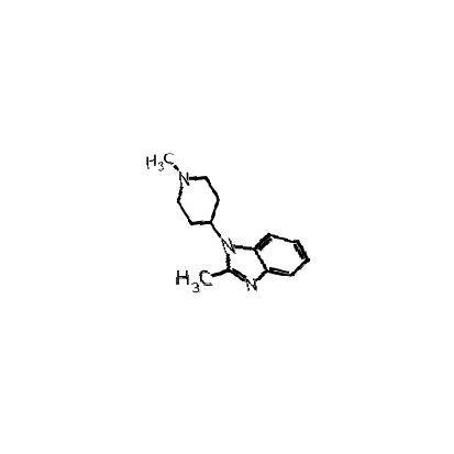 Cc1nc2ccccc2n1C1CCN(C)CC1